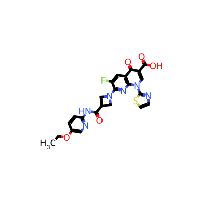 CCOc1ccc(NC(=O)C2CN(c3nc4c(cc3F)c(=O)c(C(=O)O)cn4-c3nccs3)C2)nc1